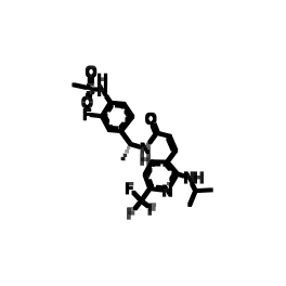 CC(C)Nc1nc(C(F)(F)F)ccc1/C=C\C(=O)N[C@H](C)c1ccc(NS(C)(=O)=O)c(F)c1